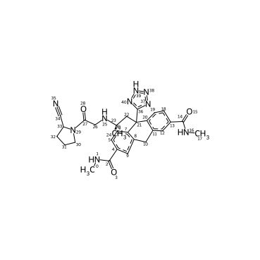 CNC(=O)c1ccc2c(c1)Cc1cc(C(=O)NC)ccc1C2(C[C@@H](C)NCC(=O)N1CCCC1C#N)c1nn[nH]n1